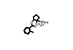 CCCCCC1(C(=O)OCC)CCCC1OC(=O)c1ccccc1C